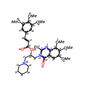 CCc1nc2c(OC)c(OC)c(OC)cc2c(=O)n1CC(CN1CCCCC1)OC(=O)C=Cc1cc(OC)c(OC)c(OC)c1